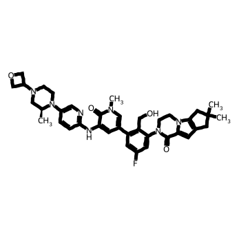 C[C@H]1CN(C2COC2)CCN1c1ccc(Nc2cc(-c3cc(F)cc(N4CCn5c(cc6c5CC(C)(C)C6)C4=O)c3CO)cn(C)c2=O)nc1